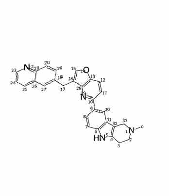 CN1CCc2[nH]c3ccc(-c4ccc5occ(Cc6ccc7ncccc7c6)c5n4)cc3c2C1